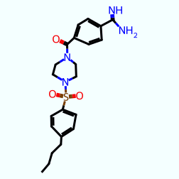 CCCCc1ccc(S(=O)(=O)N2CCN(C(=O)c3ccc(C(=N)N)cc3)CC2)cc1